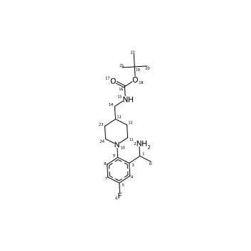 CC(N)c1cc(F)ccc1N1CCC(CNC(=O)OC(C)(C)C)CC1